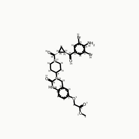 COC(=O)COc1ccc2c(c1)CN(C1CCN(C(=O)[C@@H]3C[C@H]3C(=O)c3cc(Br)c(N)c(Br)c3)CC1)C(=O)N2